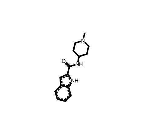 CN1CCC(NC(=O)c2cc3ccccc3[nH]2)CC1